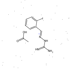 CC(=O)O.N=C(N)N/N=C/c1ccccc1I